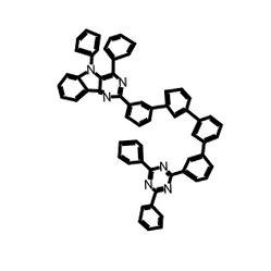 c1ccc(-c2nc(-c3ccccc3)nc(-c3cccc(-c4cccc(-c5cccc(-c6cccc(-c7nc(-c8ccccc8)c8c(n7)c7ccccc7n8-c7ccccc7)c6)c5)c4)c3)n2)cc1